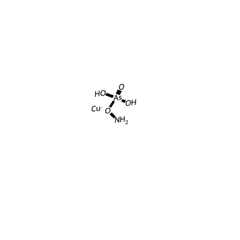 NO[As](=O)(O)O.[Cu]